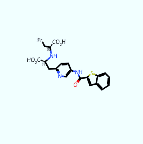 CC(C)C[C@H](N[C@@H](Cc1ccc(NC(=O)c2cc3ccccc3s2)cn1)C(=O)O)C(=O)O